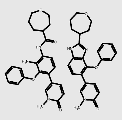 Cn1cc(-c2ccc(NC(=O)C3CCCOCC3)c(N)c2Oc2ccccc2)ccc1=O.Cn1cc(-c2ccc3[nH]c(C4CCCOCC4)nc3c2Oc2ccccc2)ccc1=O